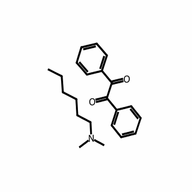 CCCCCCN(C)C.O=C(C(=O)c1ccccc1)c1ccccc1